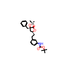 CC(C)(C)OC(=O)Nc1cccc(CC[C@H]2C[C@](Cc3ccccc3)(O[Si](C)(C)C)C(=O)O2)c1